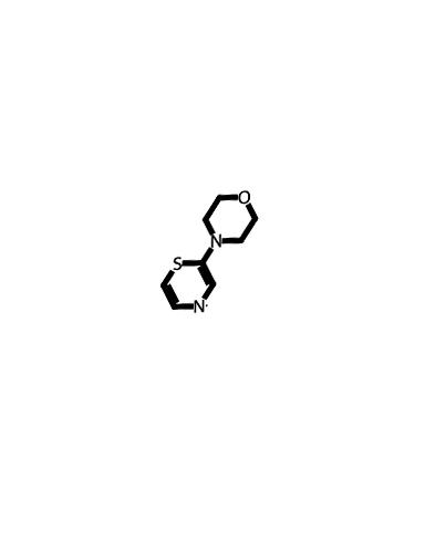 C1=CSC(N2CCOCC2)=C[N]1